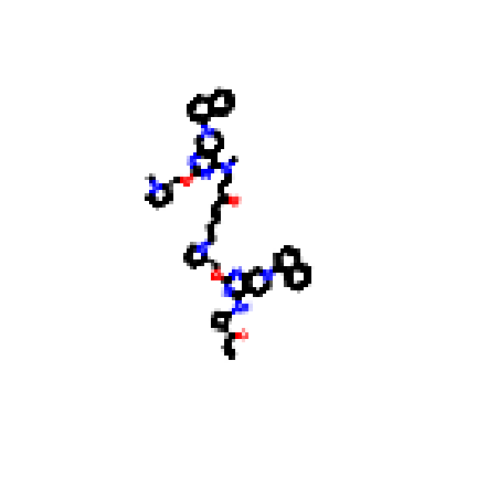 C=CC(=O)[C@@H]1CC[C@H]1Nc1nc(OC[C@@H]2CCCN2CC/C=C/C(=O)CCN(C)c2nc(OC[C@@H]3CCCN3C)nc3c2CCN(c2cccc4ccccc24)C3)nc2c1CCN(c1cccc3ccccc13)C2